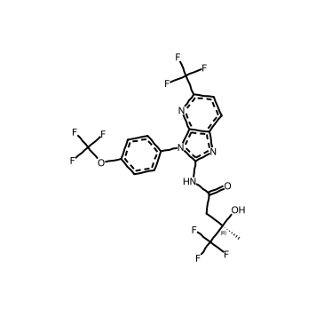 C[C@@](O)(CC(=O)Nc1nc2ccc(C(F)(F)F)nc2n1-c1ccc(OC(F)(F)F)cc1)C(F)(F)F